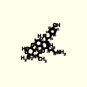 CC(N)C(=O)N(c1cccc(C(=O)C(N)Cc2ccc(O)cc2)c1C(=O)C(N)CCCN)[C@@H](CC(N)=O)C(=O)O